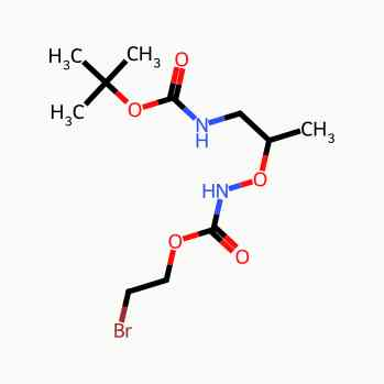 CC(CNC(=O)OC(C)(C)C)ONC(=O)OCCBr